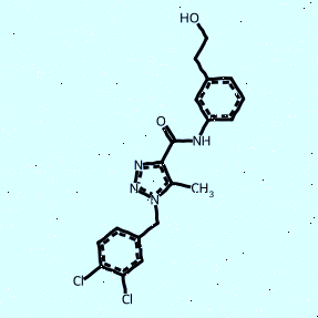 Cc1c(C(=O)Nc2cccc(CCO)c2)nnn1Cc1ccc(Cl)c(Cl)c1